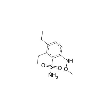 CCc1ccc(NOC)c(S(N)(=O)=O)c1CC